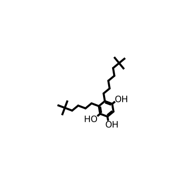 CC(C)(C)CCCCCc1c(O)cc(O)c(O)c1CCCCC(C)(C)C